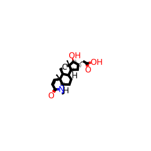 CN1C(=O)C=C[C@]2(C)C3CC[C@@]4(C)[C@@H](C[C@@H](CC(=O)O)[C@@H]4O)C3CC[C@@H]12